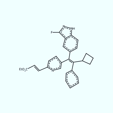 CCOC(=O)/C=C/c1ccc(/C(=C(\c2ccccc2)C2CCC2)c2ccc3[nH]nc(F)c3c2)cn1